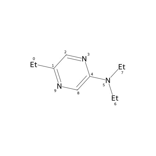 CCc1cnc(N(CC)CC)cn1